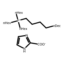 CCCCCCCCCCCCCC[P+](CCCCCC)(CCCCCC)CCCCCC.O=C([O-])c1ncc[nH]1